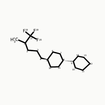 CC(CCC[C@H]1CC[C@H](C2CCCCC2)CC1)C(F)(F)F